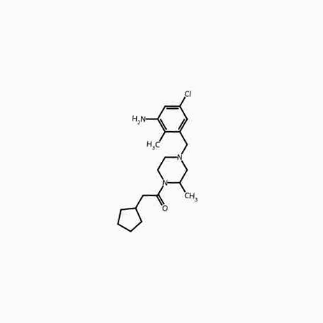 Cc1c(N)cc(Cl)cc1CN1CCN(C(=O)CC2CCCC2)C(C)C1